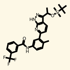 Cc1ccc(NC(=O)c2cccc(C(F)(F)F)c2)cc1-c1ccc2c(C(C)O[Si](C)(C)C(C)(C)C)n[nH]c2n1